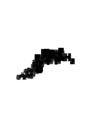 CCCC1CCC([C@@H]2COc3cc(-c4cc(F)c(C(F)(F)Oc5cc(F)c(N)c(F)c5)c(F)c4)c(F)cc3C2)CC1